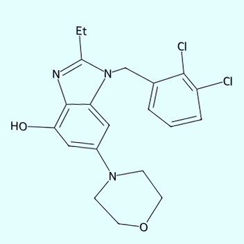 CCc1nc2c(O)cc(N3CCOCC3)cc2n1Cc1cccc(Cl)c1Cl